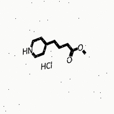 COC(=O)CCCC1CCNCC1.Cl